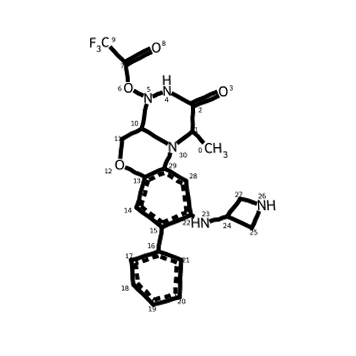 CC1C(=O)NN(OC(=O)C(F)(F)F)C2COc3cc(-c4ccccc4)c(NC4CNC4)cc3N12